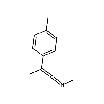 CN=C=C(C)c1ccc(C)cc1